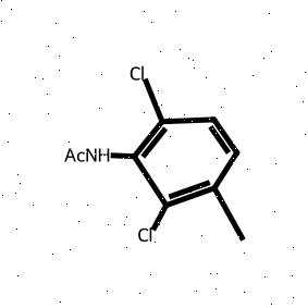 CC(=O)Nc1c(Cl)ccc(C)c1Cl